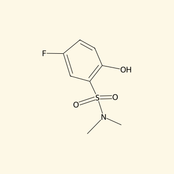 CN(C)S(=O)(=O)c1cc(F)ccc1O